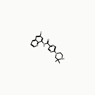 CC1(C)CN(c2cnc(C(=O)Nc3cc(F)cc4cccnc34)cn2)CCN1